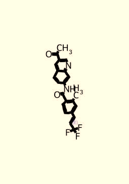 CC(=O)c1cnc2cc(NC(=O)c3ccc(/C=C/C(F)(F)F)cc3C)ccc2c1